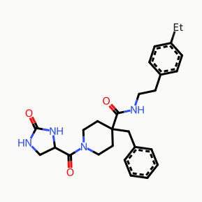 CCc1ccc(CCNC(=O)C2(Cc3ccccc3)CCN(C(=O)C3CNC(=O)N3)CC2)cc1